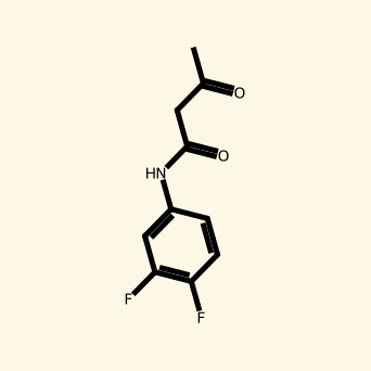 CC(=O)CC(=O)Nc1ccc(F)c(F)c1